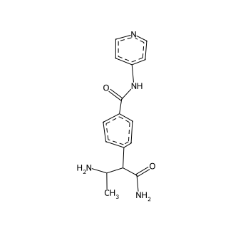 CC(N)C(C(N)=O)c1ccc(C(=O)Nc2ccncc2)cc1